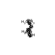 CC(C)(O)Cn1cc(-c2cc(-c3cnc(N)c(C(=O)NC4CCC5(CC5)NC4)n3)ccn2)cn1